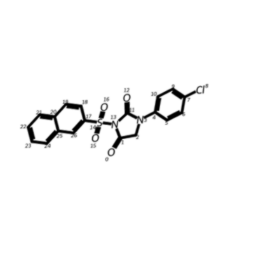 O=C1CN(c2ccc(Cl)cc2)C(=O)N1S(=O)(=O)c1ccc2ccccc2c1